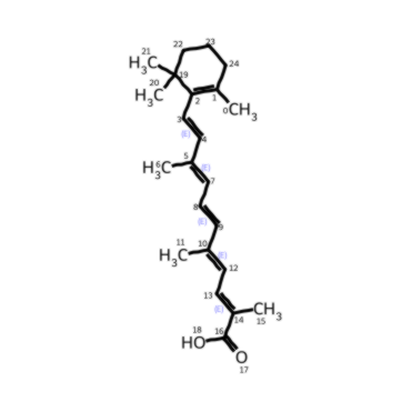 CC1=C(/C=C/C(C)=C/C=C/C(C)=C/C=C(\C)C(=O)O)C(C)(C)CCC1